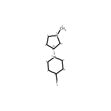 CN1CC[C@@H](N2CCC(F)CC2)C1